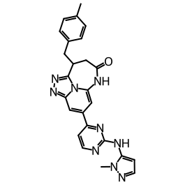 Cc1ccc(CC2CC(=O)Nc3cc(-c4ccnc(Nc5ccnn5C)n4)cc4nnc2n34)cc1